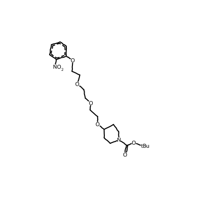 CC(C)(C)OC(=O)N1CCC(OCCOCCOCCOc2ccccc2[N+](=O)[O-])CC1